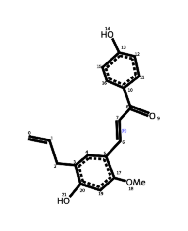 C=CCc1cc(/C=C/C(=O)c2ccc(O)cc2)c(OC)cc1O